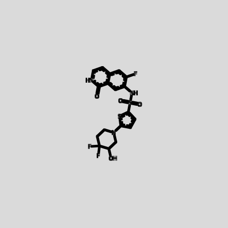 O=c1[nH]ccc2cc(F)c(NS(=O)(=O)c3ccc(N4CCC(F)(F)C(O)C4)s3)cc12